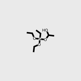 CCO[Si](CC)(OCC)OC(C)O